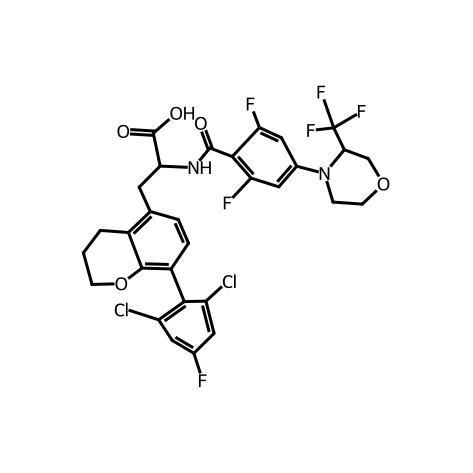 O=C(NC(Cc1ccc(-c2c(Cl)cc(F)cc2Cl)c2c1CCCO2)C(=O)O)c1c(F)cc(N2CCOCC2C(F)(F)F)cc1F